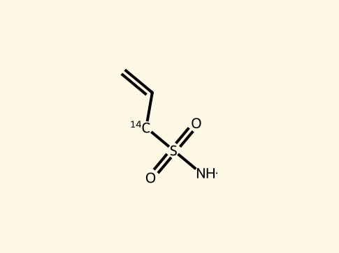 C=C[14CH2]S([NH])(=O)=O